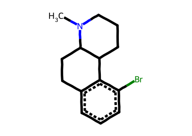 CN1CCCC2c3c(Br)cccc3CCC21